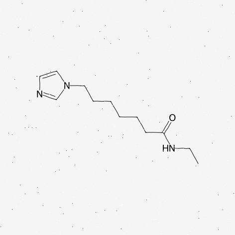 CCNC(=O)CCCCCCn1c[c]nc1